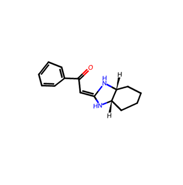 O=C(/C=C1/N[C@H]2CCCC[C@H]2N1)c1ccccc1